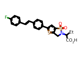 CCC(C(=O)O)N1Cc2sc(-c3ccc(/C=C/c4ccc(F)cc4)cc3)cc2S1(=O)=O